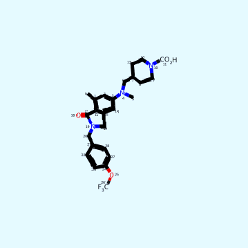 Cc1cc(N(C)CC2CCN(C(=O)O)CC2)cc2c1C(=O)N(Cc1ccc(OC(F)(F)F)cc1)C2